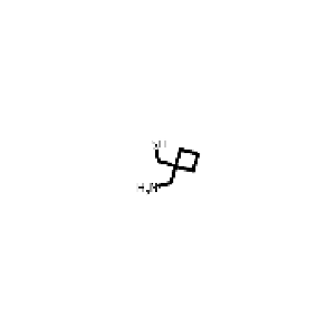 NCC1(CS)CCC1